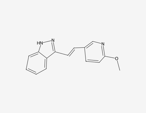 COc1ccc(C=Cc2n[nH]c3ccccc23)cn1